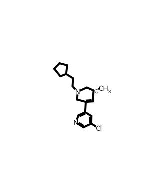 C[C@@H]1C=C(c2cncc(Cl)c2)CN(CCC2CCCC2)C1